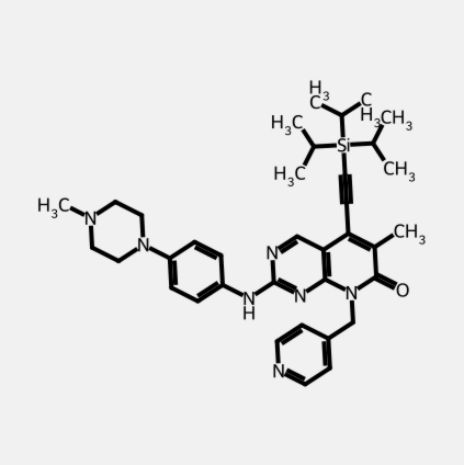 Cc1c(C#C[Si](C(C)C)(C(C)C)C(C)C)c2cnc(Nc3ccc(N4CCN(C)CC4)cc3)nc2n(Cc2ccncc2)c1=O